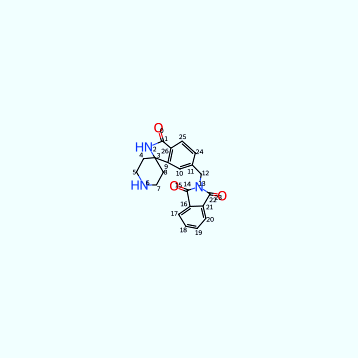 O=C1NC2(CCNCC2)c2cc(CN3C(=O)c4ccccc4C3=O)ccc21